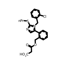 CCCSc1ncc(-c2ccccc2COC(=O)CC(=O)O)n1Cc1ccccc1Cl